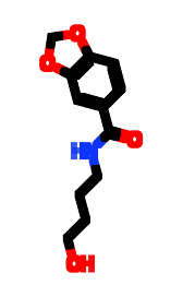 O=C(NCCCCO)c1ccc2c(c1)OCO2